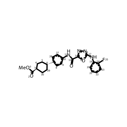 COC(=O)[C@H]1CC[C@H](c2ccc(NC(=O)c3nnc(Nc4ccccc4F)o3)cc2)CC1